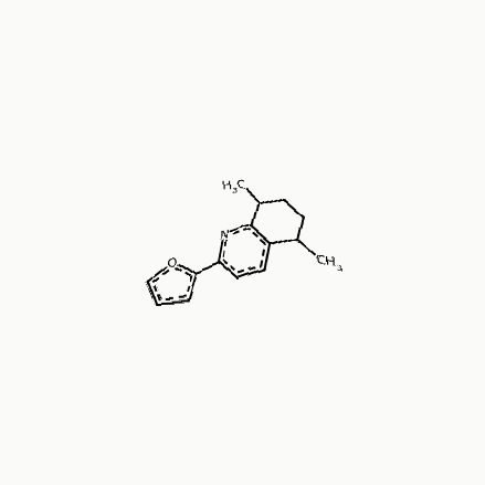 CC1CCC(C)c2nc(-c3ccco3)ccc21